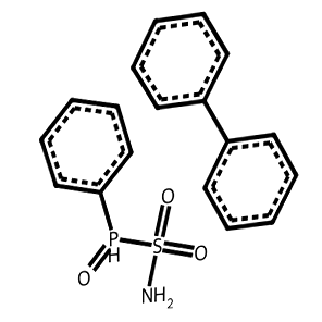 NS(=O)(=O)[PH](=O)c1ccccc1.c1ccc(-c2ccccc2)cc1